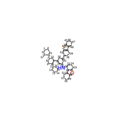 Cc1ccccc1-c1ccc(-c2ccccc2)c(-c2cc(Nc3cccc4oc5ccccc5c34)cc(-c3ccc4c(c3)sc3ccccc34)c2)c1